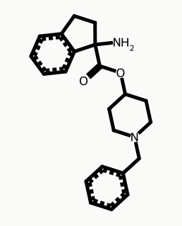 NC1(C(=O)OC2CCN(Cc3ccccc3)CC2)CCc2ccccc21